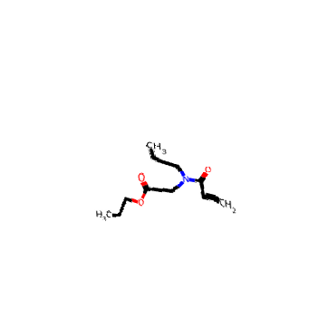 C=CC(=O)N(CCC)CC(=O)OCCC